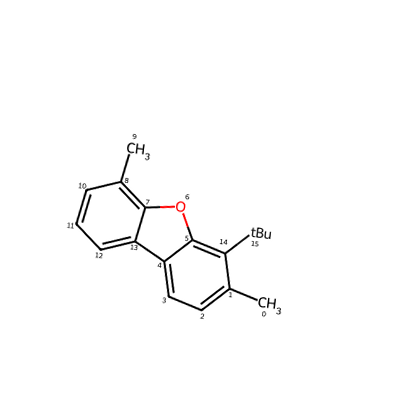 Cc1ccc2c(oc3c(C)cccc32)c1C(C)(C)C